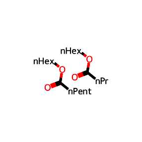 CCCCCCOC(=O)CCC.CCCCCCOC(=O)CCCCC